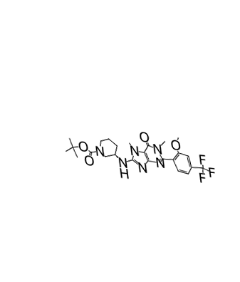 COc1cc(C(F)(F)F)ccc1-c1nc2nc(N[C@@H]3CCCN(C(=O)OC(C)(C)C)C3)n(C)c2c(=O)n1C